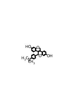 CN(C)c1ccc(C2Oc3cc(O)ccc3C3=C2c2ccc(O)cc2OC3)cc1